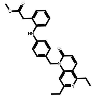 CCc1cc2c(ccc(=O)n2Cc2ccc(Nc3ccccc3CC(=O)OC)cc2)c(CC)n1